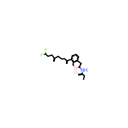 C=C(CCCC(=C)c1cccc2c1CBC(NC(=C)CC)C2)CCC(F)F